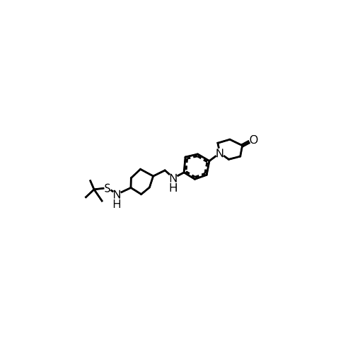 CC(C)(C)SNC1CCC(CNc2ccc(N3CCC(=O)CC3)cc2)CC1